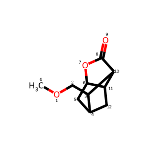 COCC1C2CC3OC(=O)C1C3C2